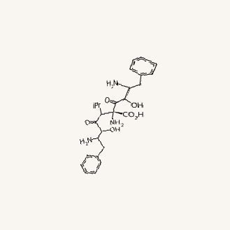 CC(C)C(C(=O)C(O)C(N)Cc1ccccc1)[C@](N)(C(=O)O)C(=O)C(O)C(N)Cc1ccccc1